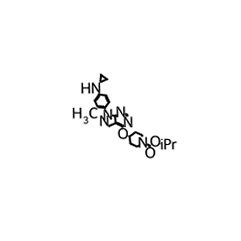 Cc1cc(NC2CC2)ccc1-n1ncc2c(OC3CCN(C(=O)OC(C)C)CC3)ncnc21